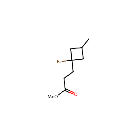 COC(=O)CCC1(Br)CC(C)C1